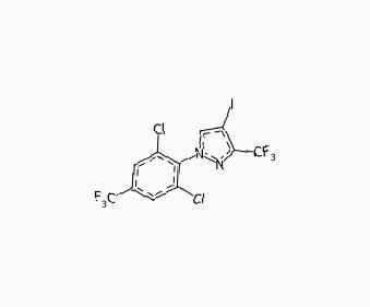 FC(F)(F)c1cc(Cl)c(-n2cc(I)c(C(F)(F)F)n2)c(Cl)c1